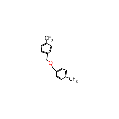 FC(F)(F)c1ccc(COCc2ccc(C(F)(F)F)cc2)cc1